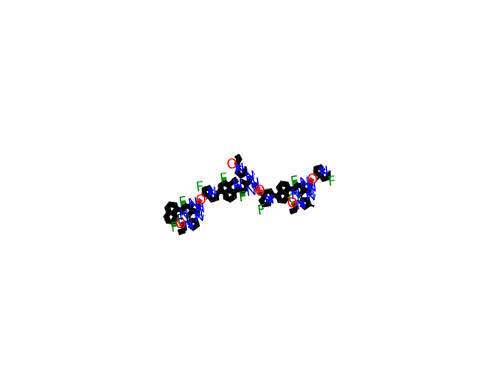 C#Cc1c(F)cc(C2CC[C@@]3(COc4nc(N(C)[C@@H]5CCN(C(=O)C=C)C5)c5cnc(-c6cccc7ccc(F)c(CC)c67)c(F)c5n4)C[C@@H](F)CN23)c2cccc(-c3ncc4c(N(C)[C@@H]5CCN(C(=O)C=C)C5)nc(OC[C@@]56CCC(c7ccc(Cl)c8c(-c9ncc%10c(N(C)[C@H]%11CN(C(=O)C=C)C[C@@H]%11C)nc(OC[C@@]%11%12CCCN%11C[C@H](F)C%12)nc%10c9F)cccc78)N5C[C@H](F)C6)nc4c3F)c12